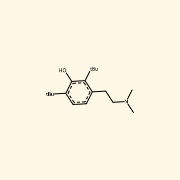 CN(C)CCc1ccc(C(C)(C)C)c(O)c1C(C)(C)C